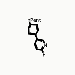 CCCCCc1ccc(-c2ccc(F)nc2)cc1